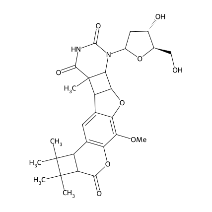 COc1c2c(cc3c1OC(=O)C1C3C(C)(C)C1(C)C)C1C(O2)C2N(C3C[C@H](O)[C@@H](CO)O3)C(=O)NC(=O)C12C